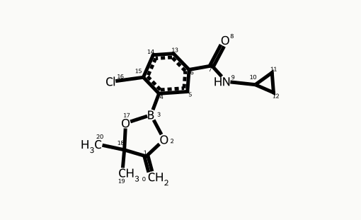 C=C1OB(c2cc(C(=O)NC3CC3)ccc2Cl)OC1(C)C